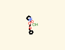 Cl.O=C(OCCOCc1ccccc1)N1C=CC=CC=N1